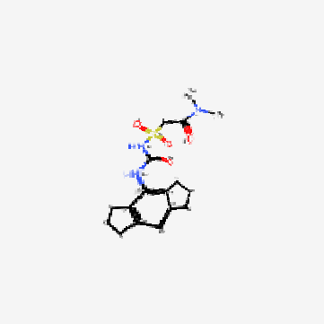 CC(C)N(C(=O)CS(=O)(=O)NC(=O)Nc1c2c(cc3c1CCC3)CCC2)C(C)C